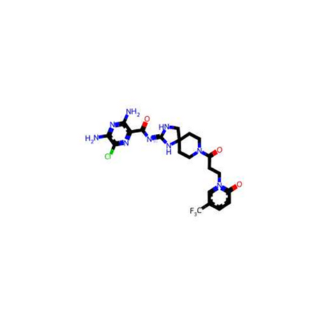 Nc1nc(N)c(C(=O)/N=C2\NCC3(CCN(C(=O)CCn4cc(C(F)(F)F)ccc4=O)CC3)N2)nc1Cl